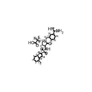 Cc1cccc2sc(S(=O)(=O)NC3CCN(Cc4cccc(C(=N)N)c4)C3=O)cc12.O=C(O)C(F)(F)F